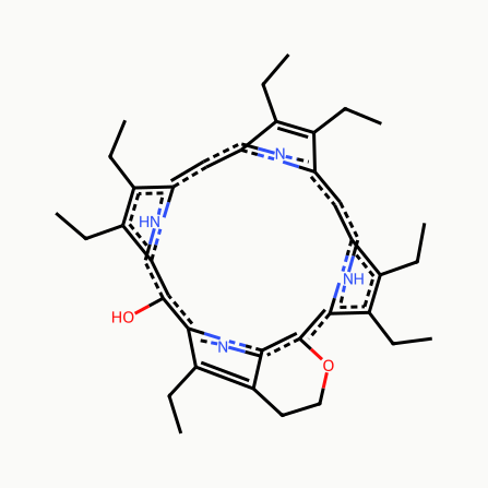 CCC1=C(CC)c2cc3[nH]c(c(CC)c3CC)c3c4nc(c(O)c5[nH]c(cc1n2)c(CC)c5CC)C(CC)=C4CCO3